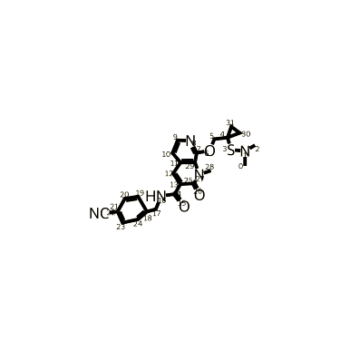 CN(C)SC1(COc2nccc3cc(C(=O)NCc4ccc(C#N)cc4)c(=O)n(C)c23)CC1